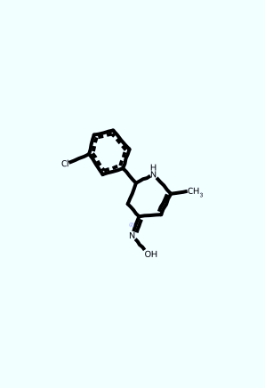 CC1=C/C(=N\O)CC(c2cccc(Cl)c2)N1